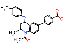 CC(=O)N1c2ccc(-c3ccc(C(=O)O)cc3)cc2C(Nc2ccc(C)cc2)CC1C